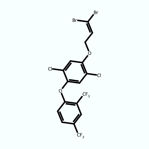 FC(F)(F)c1ccc(Oc2cc(Cl)c(OCC=C(Br)Br)cc2Cl)c(C(F)(F)F)c1